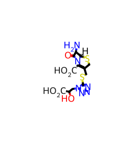 NC1C(=O)N2C(C(=O)O)=C(CSc3nnnn3CC(O)C(=O)O)CS[C@H]12